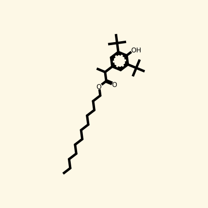 CCCCCCCCCCCCOC(=O)C(C)c1cc(C(C)(C)C)c(O)c(C(C)(C)C)c1